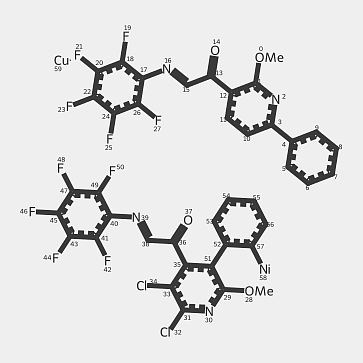 COc1nc(-c2ccccc2)ccc1C(=O)C=Nc1c(F)c(F)c(F)c(F)c1F.COc1nc(Cl)c(Cl)c(C(=O)C=Nc2c(F)c(F)c(F)c(F)c2F)c1-c1cccc[c]1[Ni].[Cu]